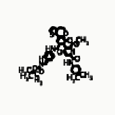 COC(=O)c1nc(C(=O)NC2CCC(C)(C)CC2)ccc1-c1cc2c(cc1C(=O)Nc1ccc(CNC(=O)OC(C)(C)C)cc1)-c1sccc1CCO2